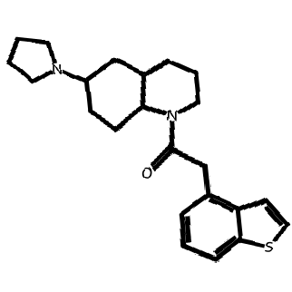 O=C(Cc1cccc2sccc12)N1CCCC2CC(N3CCCC3)CCC21